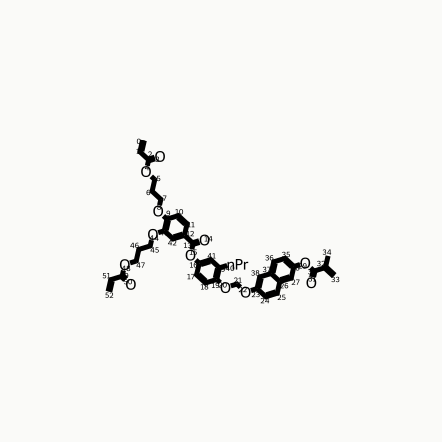 C=CC(=O)OCCCOc1ccc(C(=O)Oc2ccc(OCOc3ccc4cc(OC(=O)C(=C)C)ccc4c3)c(CCC)c2)cc1OCCCOC(=O)C=C